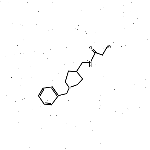 CC(C)CC(=O)NCC1CCN(Cc2ccccc2)CC1